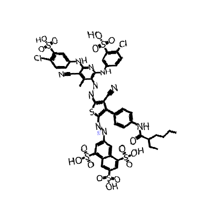 CCCCC(CC)C(=O)Nc1ccc(-c2c(/N=N/c3cc(S(=O)(=O)O)c4cc(S(=O)(=O)O)cc(S(=O)(=O)O)c4c3)sc(N=Nc3c(Nc4ccc(Cl)c(S(=O)(=O)O)c4)nc(Nc4ccc(Cl)c(S(=O)(=O)O)c4)c(C#N)c3C)c2C#N)cc1